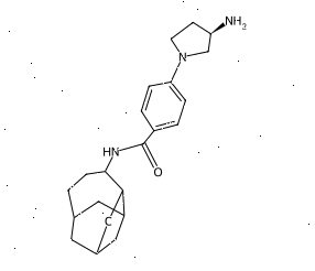 N[C@@H]1CCN(c2ccc(C(=O)NC3CCC4CC5CC(C4)C3C5)cc2)C1